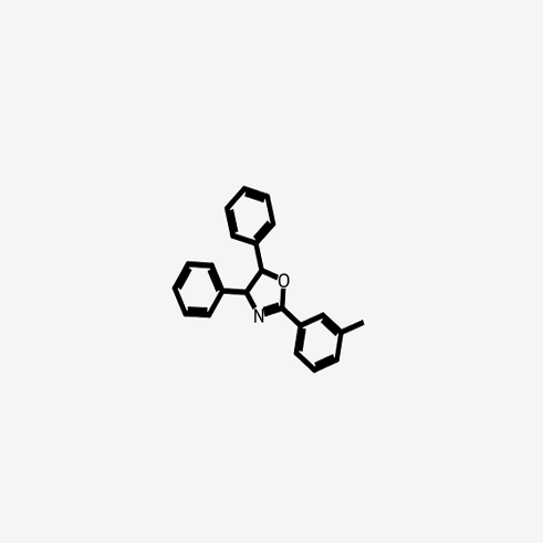 Cc1cccc(C2=NC(c3ccccc3)C(c3ccccc3)O2)c1